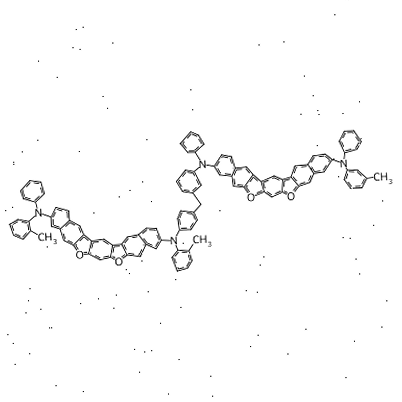 Cc1cccc(N(c2ccccc2)c2ccc3cc4c(cc3c2)oc2cc3oc5cc6cc(N(c7ccccc7)c7cccc(Cc8ccc(N(c9ccc%10cc%11c(cc%10c9)oc9cc%10oc%12cc%13cc(N(c%14ccccc%14)c%14ccccc%14C)ccc%13cc%12c%10cc9%11)c9ccccc9C)cc8)c7)ccc6cc5c3cc24)c1